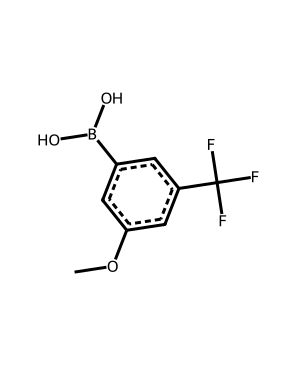 COc1cc(B(O)O)cc(C(F)(F)F)c1